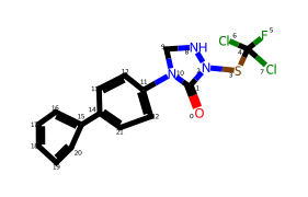 O=C1N(SC(F)(Cl)Cl)NCN1c1ccc(-c2ccccc2)cc1